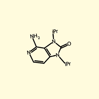 CC(C)n1c(=O)n(C(C)C)c2c(N)nccc21